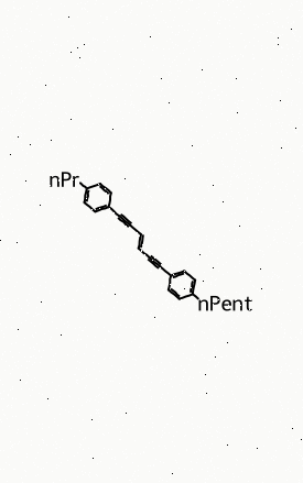 CCCCCc1ccc(C#CC=CC#Cc2ccc(CCC)cc2)cc1